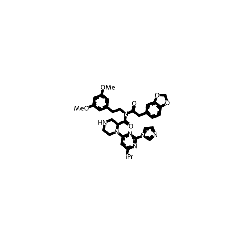 COc1cc(CCN(C(=O)Cc2ccc3c(c2)OCO3)C(=O)C2CNCCN2c2cc(C(C)C)nc(-n3ccnc3)n2)cc(OC)c1